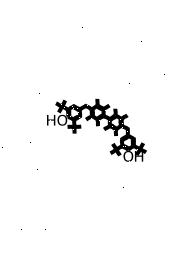 Cc1c(C)c(-c2c(C)c(C)c(Cc3cc(C(C)(C)C)c(O)c(C(C)(C)C)c3)c(C)c2C)c(C)c(C)c1Cc1cc(C(C)(C)C)c(O)c(C(C)(C)C)c1